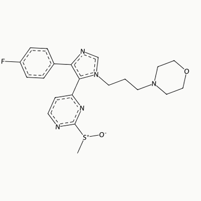 C[S+]([O-])c1nccc(-c2c(-c3ccc(F)cc3)ncn2CCCN2CCOCC2)n1